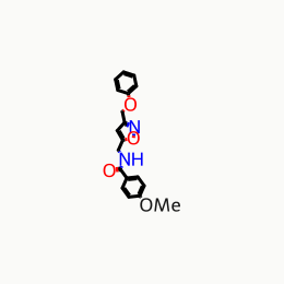 COc1ccc(C(=O)NCc2cc(COc3ccccc3)no2)cc1